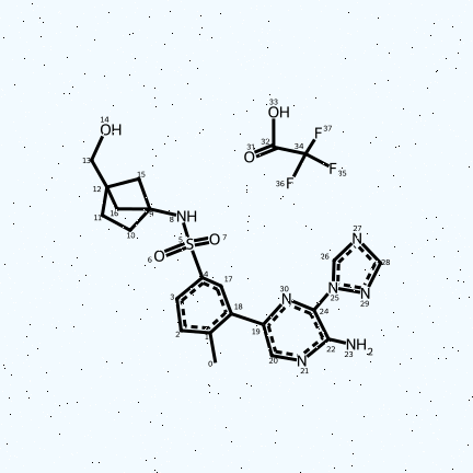 Cc1ccc(S(=O)(=O)NC23CCC(CO)(C2)C3)cc1-c1cnc(N)c(-n2cncn2)n1.O=C(O)C(F)(F)F